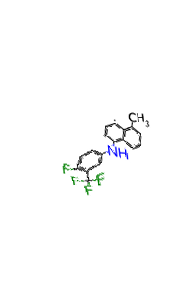 Cc1cccc2c(Nc3ccc(F)c(C(F)(F)F)c3)cc[c]c12